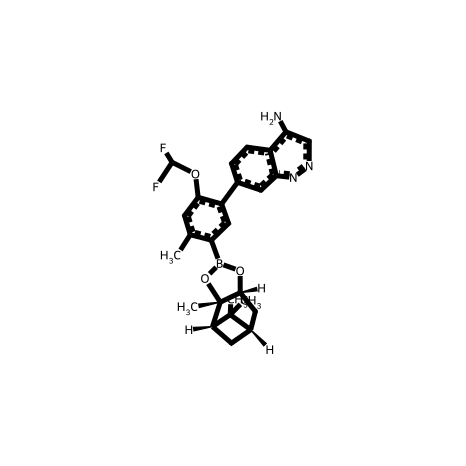 Cc1cc(OC(F)F)c(-c2ccc3c(N)cnnc3c2)cc1B1O[C@@H]2C[C@@H]3C[C@@H](C3(C)C)[C@]2(C)O1